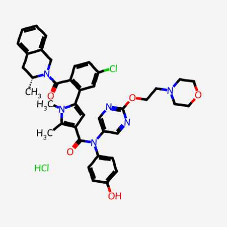 Cc1c(C(=O)N(c2ccc(O)cc2)c2cnc(OCCN3CCOCC3)nc2)cc(-c2cc(Cl)ccc2C(=O)N2Cc3ccccc3C[C@H]2C)n1C.Cl